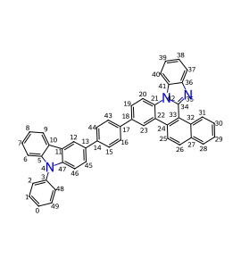 c1ccc(-n2c3ccccc3c3cc(-c4ccc(-c5ccc6c(c5)c5ccc7ccccc7c5c5nc7ccccc7n65)cc4)ccc32)cc1